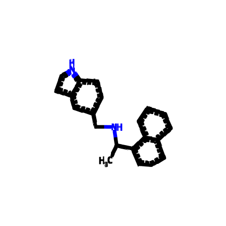 CC(NCc1ccc2[nH]ccc2c1)c1cccc2ccccc12